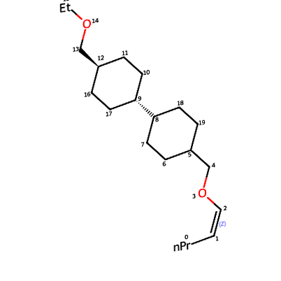 CCC/C=C\OCC1CCC([C@H]2CC[C@H](COCC)CC2)CC1